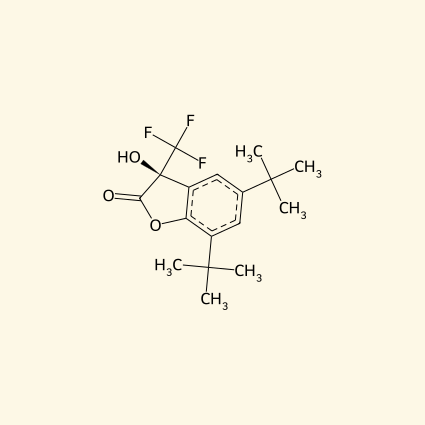 CC(C)(C)c1cc(C(C)(C)C)c2c(c1)[C@@](O)(C(F)(F)F)C(=O)O2